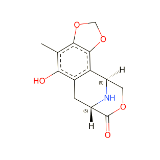 Cc1c(O)c2c(c3c1OCO3)[C@H]1COC(=O)[C@H](C2)N1